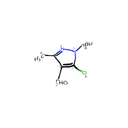 CCCCn1nc(C)c(C=O)c1Cl